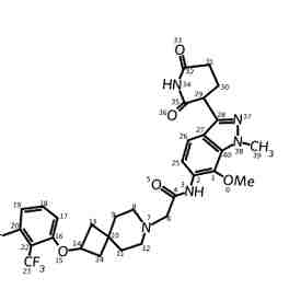 COc1c(NC(=O)CN2CCC3(CC2)CC(Oc2cccc(Br)c2C(F)(F)F)C3)ccc2c(C3CCC(=O)NC3=O)nn(C)c12